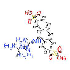 N=C(N)N.N=C(N)N.O=S(=O)(O)c1ccc2cc3cc(S(=O)(=O)O)ccc3cc2c1